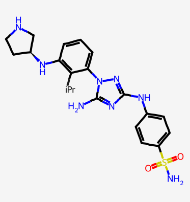 CC(C)c1c(N[C@H]2CCNC2)cccc1-n1nc(Nc2ccc(S(N)(=O)=O)cc2)nc1N